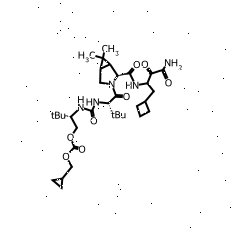 CC1(C)C2CN(C(=O)[C@@H](NC(=O)N[C@H](COC(=O)OCC3CC3)C(C)(C)C)C(C)(C)C)[C@H](C(=O)NC(CC3CCC3)C(=O)C(N)=O)C21